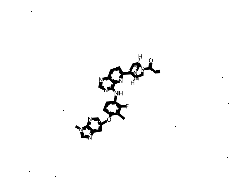 C=CC(=O)N1C[C@H]2CC[C@@H]1CN2c1ccc2ncnc(Nc3ccc(Oc4cnc5c(c4)ncn5C)c(C)c3F)c2n1